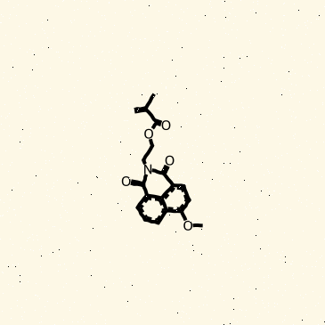 C=C(C)C(=O)OCCN1C(=O)c2cccc3c(OC)ccc(c23)C1=O